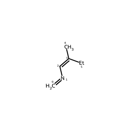 C=N/C=C(/C)CC